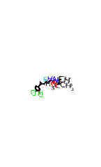 CC(C)C(C)NC(=O)/C=C/C(F)=C/C1CC1c1ccc(Cl)c(Cl)c1